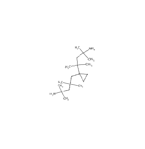 CC(C)(N)CC(C)(C)CC1(C(C)(C)CC(C)(C)N)CC1